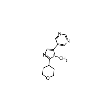 Cn1c(-c2cncnc2)cnc1C1CCOCC1